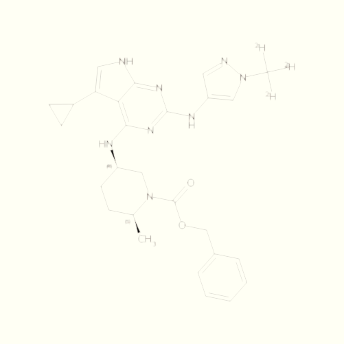 [2H]C([2H])([2H])n1cc(Nc2nc(N[C@@H]3CC[C@H](C)N(C(=O)OCc4ccccc4)C3)c3c(C4CC4)c[nH]c3n2)cn1